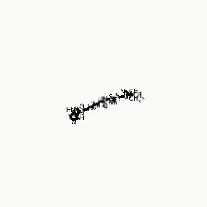 CC(C)(C)c1cnc(CSc2cnc(NC(=O)CCCCCCC(=O)Nc3c[nH]c4ccccc34)s2)o1